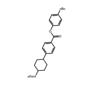 CCCCCC1CCC(c2ccc(C(=O)Oc3ccc(CCCC)cc3)cc2)CC1